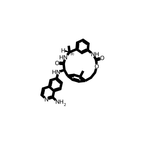 Cc1cc2ccc1CCOC(=O)Nc1cccc(c1)[C@@H](C)NC(=O)C2Nc1ccc2c(N)nccc2c1